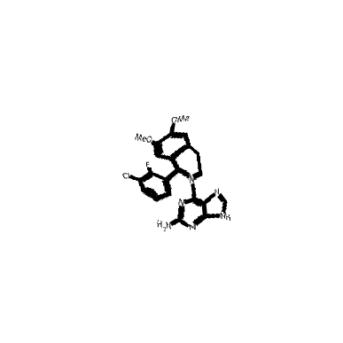 COc1cc2c(cc1OC)C(c1cccc(Cl)c1F)N(c1nc(N)nc3[nH]cnc13)CC2